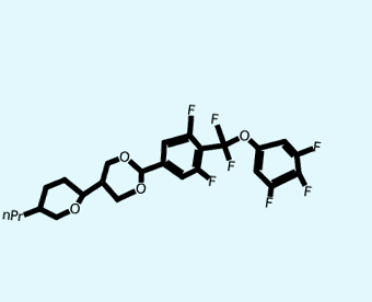 CCCC1CCC(C2COC(c3cc(F)c(C(F)(F)Oc4cc(F)c(F)c(F)c4)c(F)c3)OC2)OC1